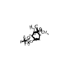 COC1(C)CC=C(OS(=O)(=O)C(F)(F)F)CC1